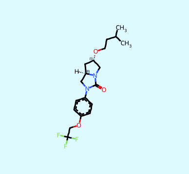 CC(C)CCO[C@H]1C[C@@H]2CN(c3ccc(OCC(F)(F)F)cc3)C(=O)N2C1